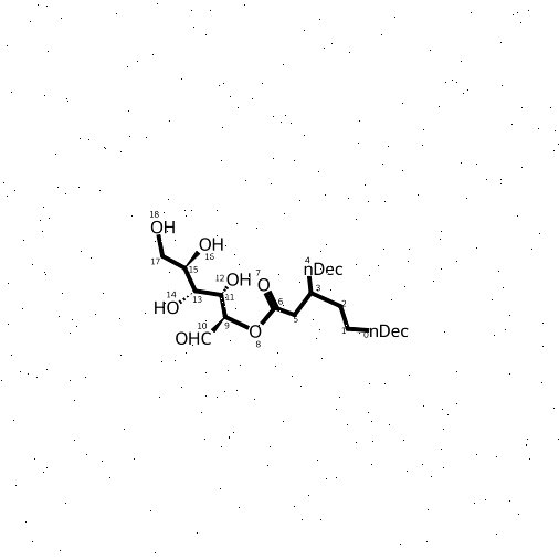 CCCCCCCCCCCCC(CCCCCCCCCC)CC(=O)O[C@@H](C=O)[C@@H](O)[C@H](O)[C@H](O)CO